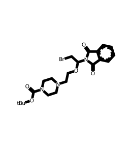 CC(C)(C)OC(=O)N1CCN(CCOC(CBr)N2C(=O)c3ccccc3C2=O)CC1